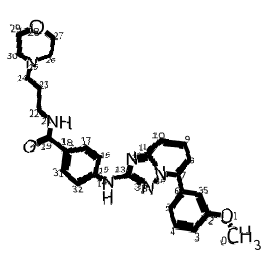 COc1cccc(-c2cccc3nc(Nc4ccc(C(=O)NCCCN5CCOCC5)cc4)nn23)c1